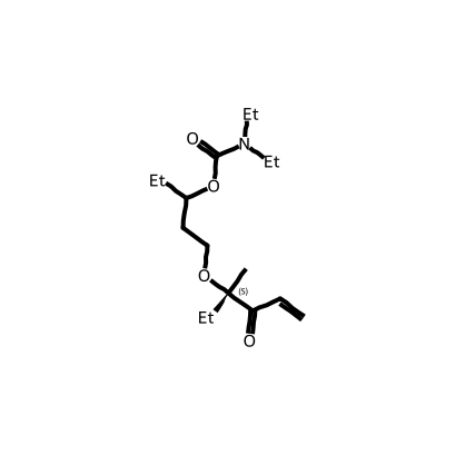 C=CC(=O)[C@](C)(CC)OCCC(CC)OC(=O)N(CC)CC